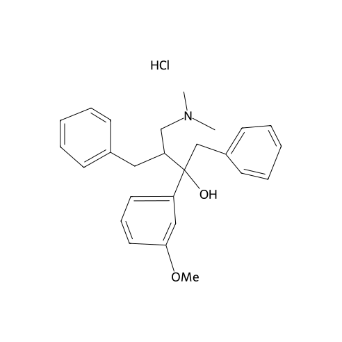 COc1cccc(C(O)(Cc2ccccc2)C(Cc2ccccc2)CN(C)C)c1.Cl